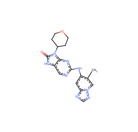 Cc1cn2ncnc2cc1Nc1ncc2[nH]c(=O)n(C3CCOCC3)c2n1